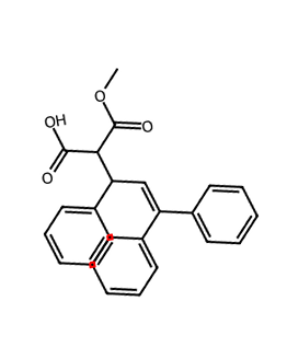 COC(=O)C(C(=O)O)C(C=C(c1ccccc1)c1ccccc1)c1ccccc1